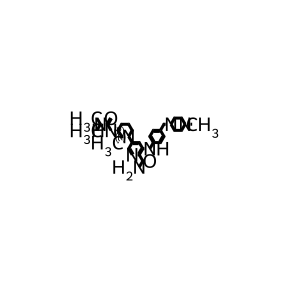 C[C@@H]1[C@H](NC(=O)N(C)C)CCCN1c1cnc(C(N)=O)c(Nc2ccc(CN3CCN(C)CC3)cc2)c1